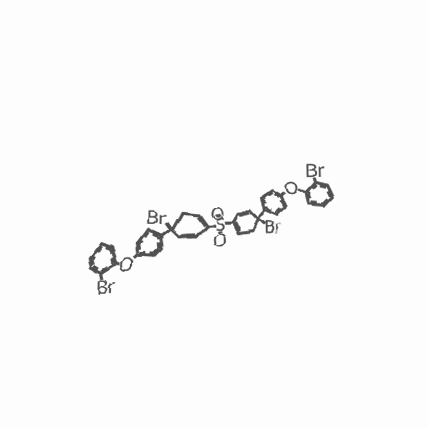 O=S(=O)(C1=CCC(Br)(c2ccc(Oc3ccccc3Br)cc2)C=C1)C1=CCC(Br)(c2ccc(Oc3ccccc3Br)cc2)C=C1